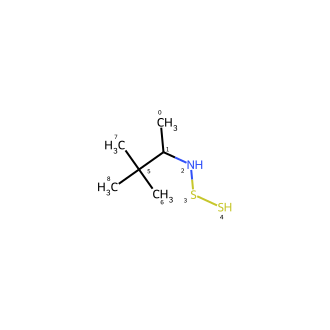 CC(NSS)C(C)(C)C